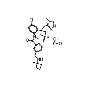 Cn1cnnc1CC1(c2cc(Cl)ccc2N2Cc3ccc(CNC4(C)CCC4)cc3C2=O)CC(F)(F)C1.O=CO